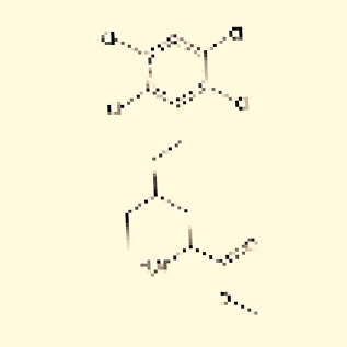 CCC(CCc1c(Cl)c(Cl)cc(Cl)c1Cl)CC(N)C(=O)OC